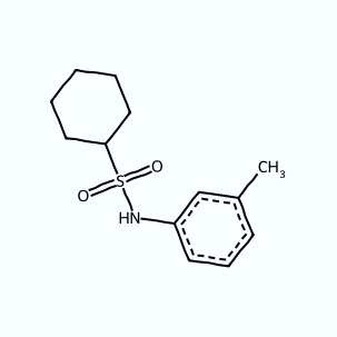 Cc1cccc(NS(=O)(=O)C2CCCCC2)c1